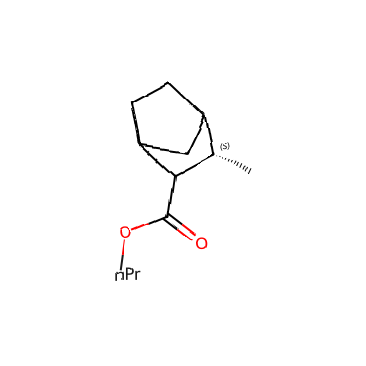 CCCOC(=O)C1C2CCC(C2)[C@@H]1C